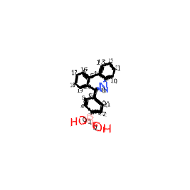 OB(O)c1ccc(-c2nc3ccccc3c3ccccc23)cc1